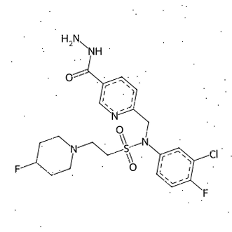 NNC(=O)c1ccc(CN(c2ccc(F)c(Cl)c2)S(=O)(=O)CCN2CCC(F)CC2)nc1